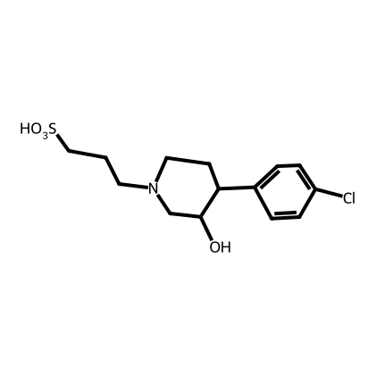 O=S(=O)(O)CCCN1CCC(c2ccc(Cl)cc2)C(O)C1